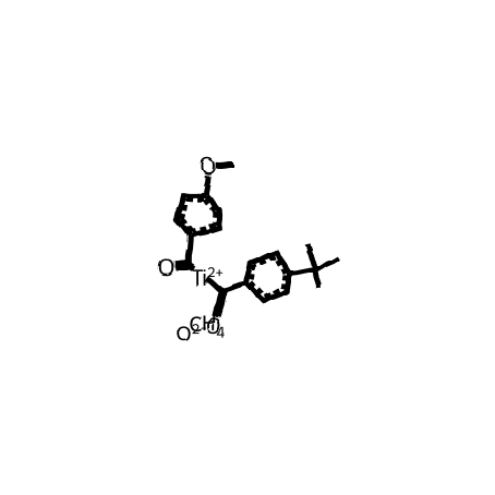 C.COc1ccc([C](=O)[Ti+2][C](=O)c2ccc(C(C)(C)C)cc2)cc1.[O-2]